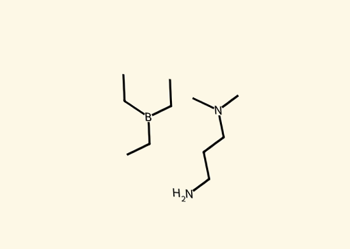 CCB(CC)CC.CN(C)CCCN